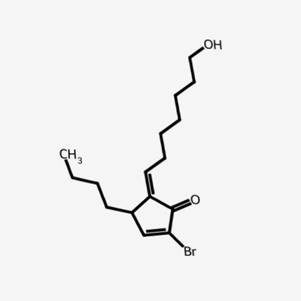 CCCCC1C=C(Br)C(=O)C1=CCCCCCCO